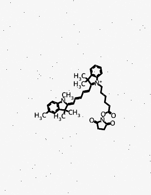 Cc1ccc2c(c1)C(C)(C)/C(=C/C=C/C=C/C1=[N+](CCCCCC(=O)ON3C(=O)CCC3=O)c3ccccc3C1(C)C)N2C